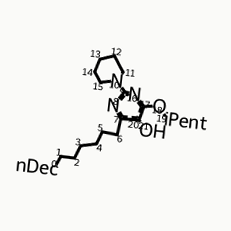 CCCCCCCCCCCCCCCCc1nc(N2CCCCC2)nc(OC(C)CCC)c1O